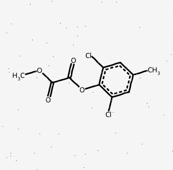 COC(=O)C(=O)Oc1c(Cl)cc(C)cc1Cl